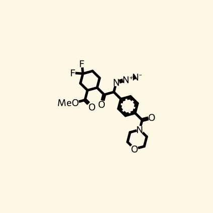 COC(=O)C1CC(F)(F)CCC1C(=O)C(N=[N+]=[N-])c1ccc(C(=O)N2CCOCC2)cc1